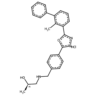 Cc1c(-c2ccccc2)cccc1-c1nnc(-c2ccc(CN[CH][C@@H](C)O)cc2)o1.Cl